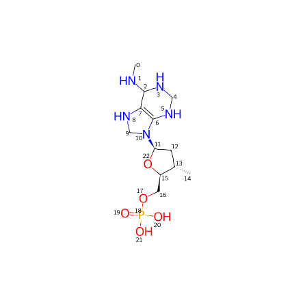 CNC1NCNC2=C1NCN2[C@H]1C[C@H](C)[C@@H](COP(=O)(O)O)O1